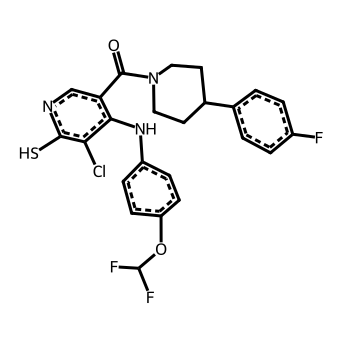 O=C(c1cnc(S)c(Cl)c1Nc1ccc(OC(F)F)cc1)N1CCC(c2ccc(F)cc2)CC1